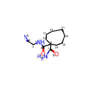 N#CCNC(=O)C1(C(N)=O)CCCCCCC1